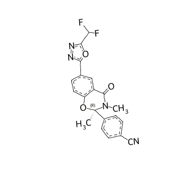 CN1C(=O)c2cc(-c3nnc(C(F)F)o3)ccc2O[C@]1(C)c1ccc(C#N)cc1